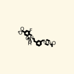 COC(=O)c1ccc(CN(CCc2cccc(CN3CCN(C(C)=O)CC3)c2)[SH](=O)=O)c(F)c1